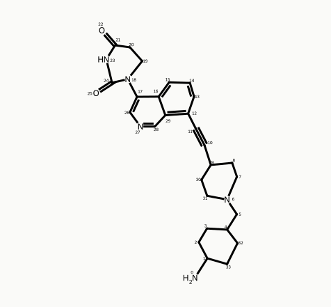 NC1CCC(CN2CCC(C#Cc3cccc4c(N5CCC(=O)NC5=O)cncc34)CC2)CC1